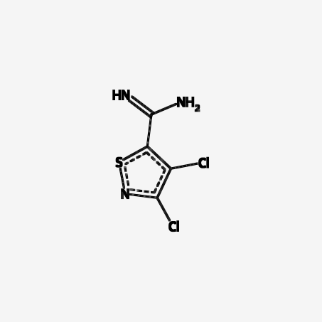 N=C(N)c1snc(Cl)c1Cl